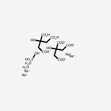 O.O.O=C([O-])CC(O)(CC(=O)O)C(=O)O.O=C([O-])CC(O)(CC(=O)[O-])C(=O)[O-].O=S(=O)(O)O.[Na+].[Na+].[Na+].[Na+]